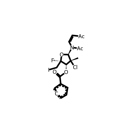 CC(=O)/C=C\N(C(C)=O)[C@@H]1O[C@](F)(CI)[C@@H](OC(=O)c2ccccc2)[C@@]1(C)Cl